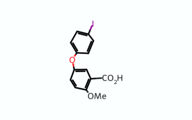 COc1ccc(Oc2ccc(I)cc2)cc1C(=O)O